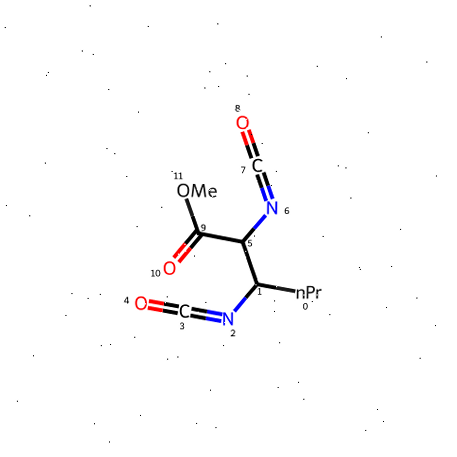 CCCC(N=C=O)C(N=C=O)C(=O)OC